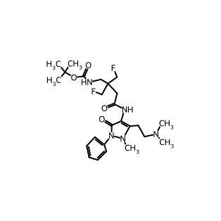 CN(C)CCc1c(NC(=O)CC(CF)(CF)CNC(=O)OC(C)(C)C)c(=O)n(-c2ccccc2)n1C